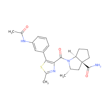 [CH2][C@H]1C[C@@]2(C(N)=O)CCC[C@@H]2N1C(=O)c1nc(C)sc1-c1cccc(NC(C)=O)c1